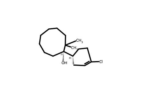 CC1(C)CCCCCCC[C@]1(O)[C@H]1CC=C(Cl)CC1